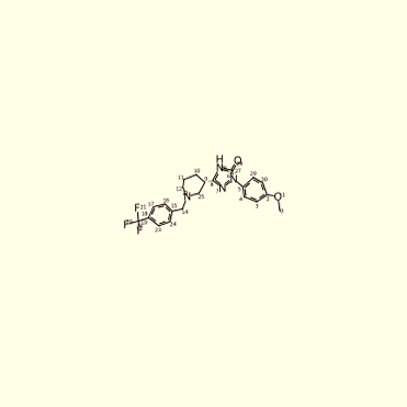 COc1ccc(-n2nc([C@H]3CCCN(Cc4ccc(C(F)(F)F)cc4)C3)[nH]c2=O)cc1